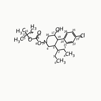 CCC(CC)C1CN(OC(=O)OC(C)(C)C)CC(O)C1c1ccc(Cl)cc1